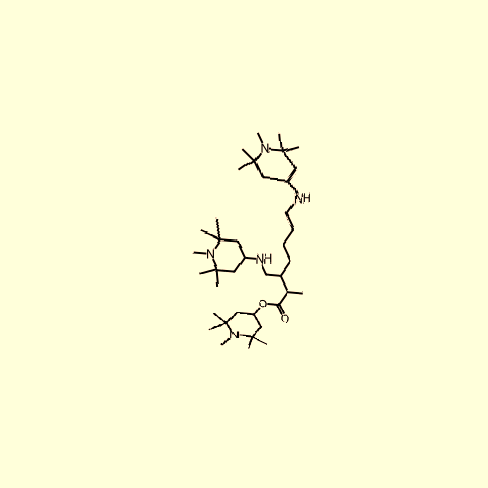 CC(C(=O)OC1CC(C)(C)N(C)C(C)(C)C1)C(CCCCNC1CC(C)(C)N(C)C(C)(C)C1)CNC1CC(C)(C)N(C)C(C)(C)C1